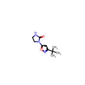 CC(C)(C)c1cc(N2CCNC2=O)on1